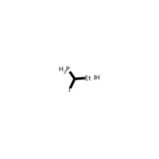 CCC(P)I.I